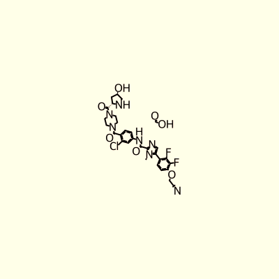 Cn1c(-c2ccc(OCC#N)c(F)c2F)cnc1C(=O)Nc1ccc(C(=O)N2CCN(C(=O)[C@@H]3C[C@H](O)CN3)CC2)c(Cl)c1.O=CO